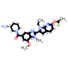 CCn1c(-c2nc3cc(C(=O)N4CCC[C@@H](N)C4)cc(OC)c3n2C)cc2ccc(OC(C)F)nc21